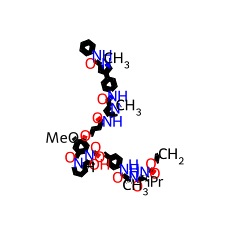 C=CCOC(=O)N[C@H](C(=O)N[C@@H](C)C(=O)Nc1ccc(COC(=O)N2c3cc(OCCCC(=O)Nc4cc(C(=O)Nc5ccc(-c6cc(C(=O)Nc7ccccc7)n(C)c6)cc5)n(C)c4)c(OC)cc3C(=O)N3CCCC[C@H]3[C@@H]2O)cc1)C(C)C